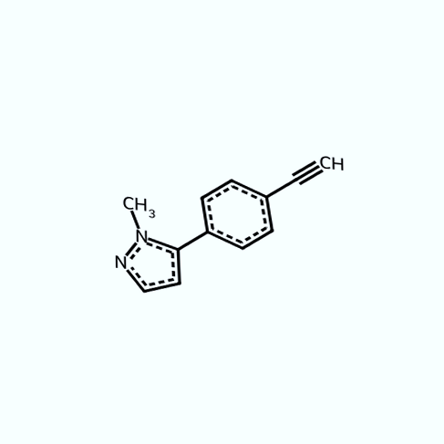 C#Cc1ccc(-c2ccnn2C)cc1